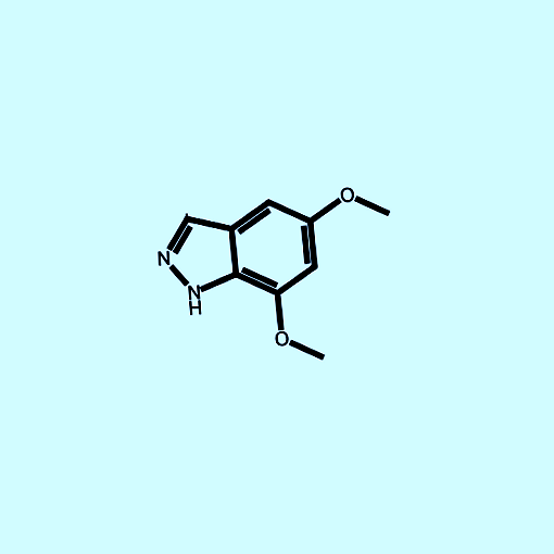 COc1cc(OC)c2[nH]n[c]c2c1